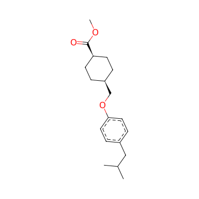 COC(=O)[C@H]1CC[C@@H](COc2ccc(CC(C)C)cc2)CC1